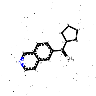 C=C(c1ccc2cnccc2c1)C1CCCC1